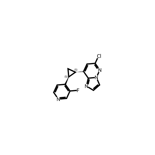 Fc1cnccc1[C@H]1C[C@@H]1c1cc(Cl)nn2ccnc12